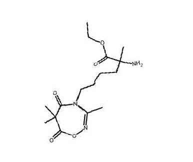 CCOC(=O)C(C)(N)CCCCN1C(=O)C(C)(C)C(=O)ON=C1C